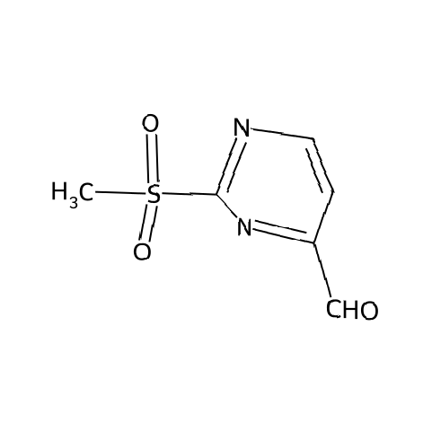 CS(=O)(=O)c1nccc(C=O)n1